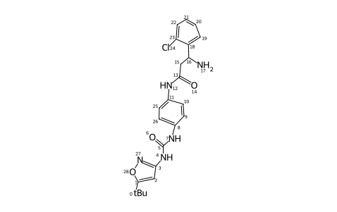 CC(C)(C)c1cc(NC(=O)Nc2ccc(NC(=O)CC(N)c3ccccc3Cl)cc2)no1